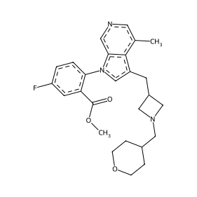 COC(=O)c1cc(F)ccc1-n1cc(CC2CN(CC3CCOCC3)C2)c2c(C)cncc21